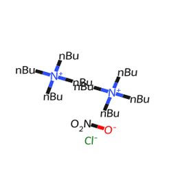 CCCC[N+](CCCC)(CCCC)CCCC.CCCC[N+](CCCC)(CCCC)CCCC.O=[N+]([O-])[O-].[Cl-]